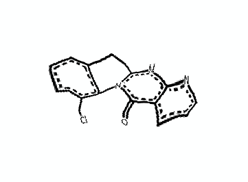 O=c1c2cccnc2nc2n1-c1c(Cl)cccc1C2